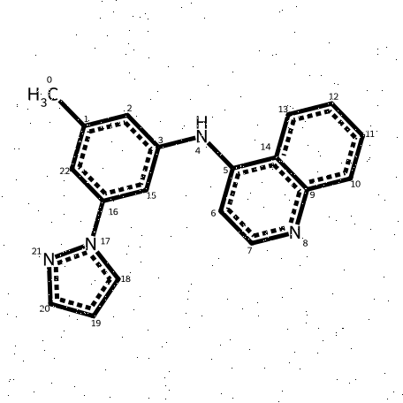 Cc1cc(Nc2ccnc3ccccc23)cc(-n2cccn2)c1